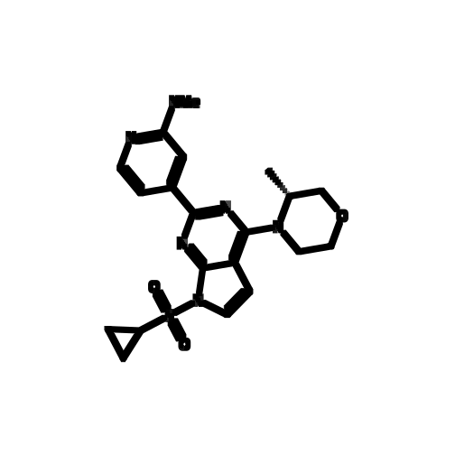 CNc1cc(-c2nc(N3CCOC[C@H]3C)c3ccn(S(=O)(=O)C4CC4)c3n2)ccn1